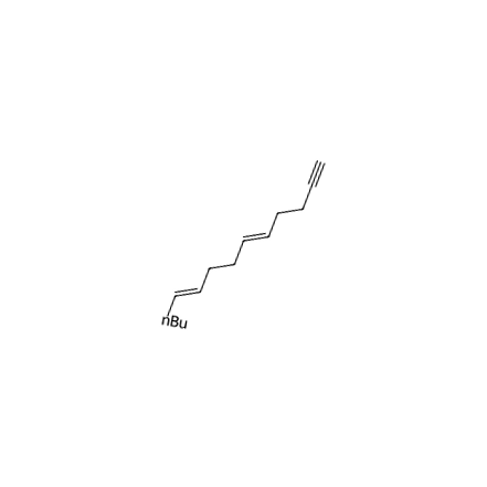 C#CCCC=CCCC=CCCCC